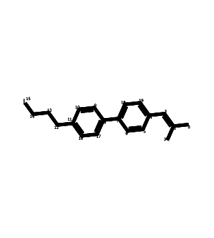 CC(C)=Cc1ccc(-c2ccc(CCCI)cc2)cc1